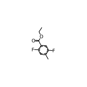 CCOC(=O)c1cc(F)c(C)cc1F